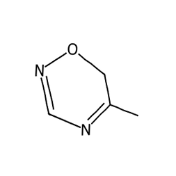 CC1=NC=NOC1